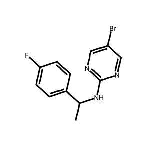 CC(Nc1ncc(Br)cn1)c1ccc(F)cc1